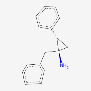 N[C@]1(Cc2ccccc2)C[C@H]1c1ccccc1